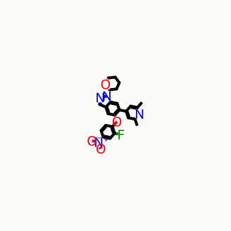 Cc1cc(-c2cc3c(cnn3C3CCCCO3)cc2Oc2ccc([N+](=O)[O-])cc2F)cc(C)n1